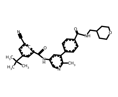 Cc1ncc(NC(=O)c2cc(C#N)cc(C(C)(C)C)c2)cc1-c1ccc(C(=O)NCC2CCOCC2)cc1